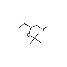 CC[C@@H](COC)OC(C)(C)C